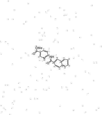 COC(=O)c1ccc(NC(=O)c2ccc3ccccc3c2)nc1